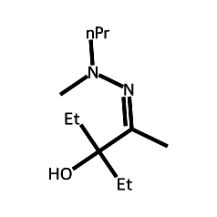 CCCN(C)/N=C(/C)C(O)(CC)CC